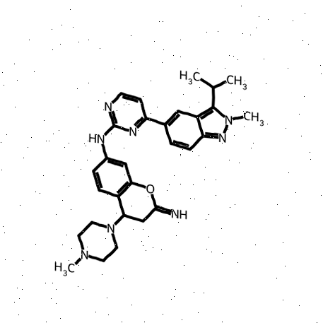 CC(C)c1c2cc(-c3ccnc(Nc4ccc5c(c4)OC(=N)CC5N4CCN(C)CC4)n3)ccc2nn1C